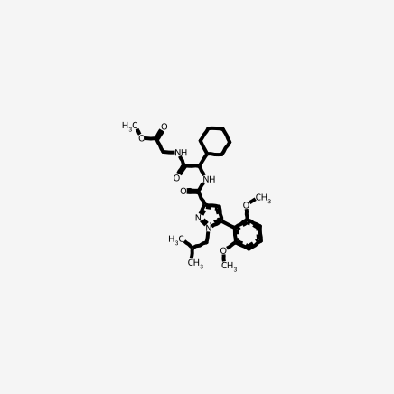 COC(=O)CNC(=O)C(NC(=O)c1cc(-c2c(OC)cccc2OC)n(CC(C)C)n1)C1CCCCC1